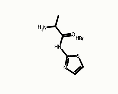 Br.CC(N)C(=O)Nc1nccs1